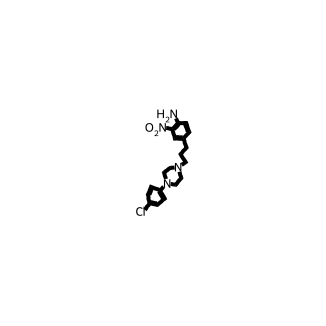 Nc1ccc(CCCN2CCN(c3ccc(Cl)cc3)CC2)cc1[N+](=O)[O-]